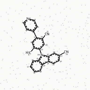 Cc1cc(-c2ccncc2)c(C#N)cc1-n1c2ccccc2c2ccc(C#N)cc21